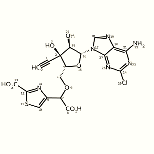 C#C[C@@]1(O)[C@@H](COC(C(=O)O)c2csc(C(=O)O)n2)O[C@@H](n2cnc3c(N)nc(Cl)nc32)[C@@H]1O